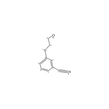 C#Cc1cccc(OCCCl)c1